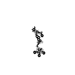 CCC1O[C@@H](OC2[C@H](OC3CCC4(C)C(CCC5C4CCC4(C)C5CC(=O)C4[C@H](C)C(=O)CC[C@H](C)CO[C@@H]4OC(CC)[C@@H](OC(=O)c5ccccc5)[C@H](OC(=O)c5ccccc5)C4OC(=O)c4ccccc4)C3)OC(COC(=O)c3ccccc3)[C@@H](C)[C@@H]2C)C(C)[C@@H](C)[C@@H]1C